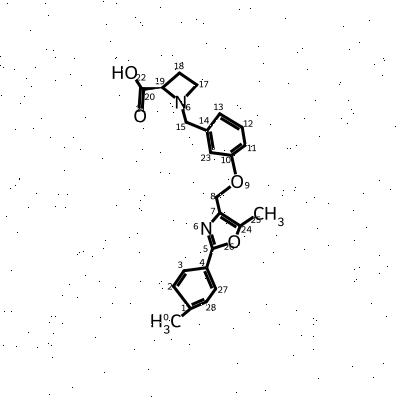 Cc1ccc(-c2nc(COc3cccc(CN4CC[C@@H]4C(=O)O)c3)c(C)o2)cc1